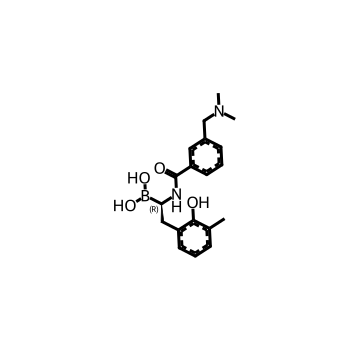 Cc1cccc(C[C@H](NC(=O)c2cccc(CN(C)C)c2)B(O)O)c1O